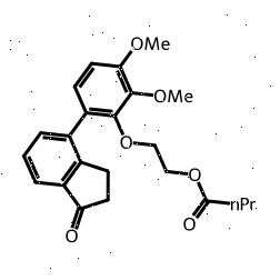 CCCC(=O)OCCOc1c(-c2cccc3c2CCC3=O)ccc(OC)c1OC